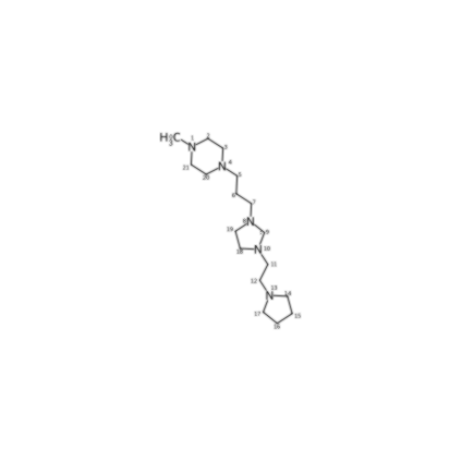 CN1CCN(CCCN2[C]N(CCN3CCCC3)CC2)CC1